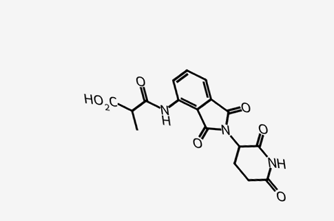 CC(C(=O)O)C(=O)Nc1cccc2c1C(=O)N(C1CCC(=O)NC1=O)C2=O